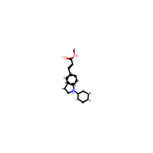 COC(=O)/C=C/c1ccc2c(c1)CCN2C1CCCCC1